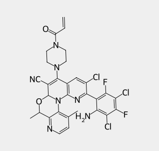 C=CC(=O)N1CCN(C2=C(C#N)C3OC(C)c4nccc(C)c4N3c3nc(-c4c(N)c(Cl)c(F)c(Cl)c4F)c(Cl)cc32)CC1